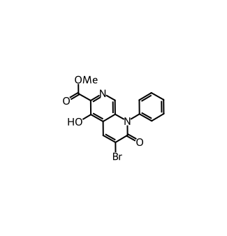 COC(=O)c1ncc2c(cc(Br)c(=O)n2-c2ccccc2)c1O